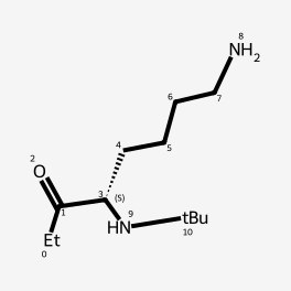 CCC(=O)[C@H](CCCCN)NC(C)(C)C